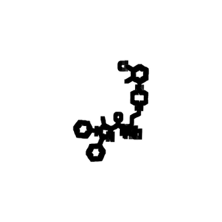 Cc1c(Cl)cccc1N1CCN(CCCN(C)C(=O)c2nc(-c3ccccc3)n(-c3ccccc3)c2C)CC1.Cl.Cl